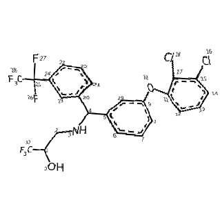 OC(CNC(c1cccc(Oc2cccc(Cl)c2Cl)c1)c1cccc(C(F)(F)C(F)(F)F)c1)C(F)(F)F